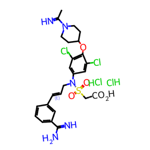 CC(=N)N1CCC(Oc2c(Cl)cc(N(C/C=C/c3cccc(C(=N)N)c3)S(=O)(=O)CC(=O)O)cc2Cl)CC1.Cl.Cl